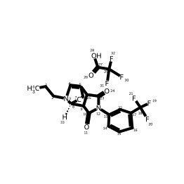 CCCN1C=C2CC[C@H]1C1C(=O)N(c3cccc(C(F)(F)F)c3)C(=O)C21.O=C(O)C(F)(F)F